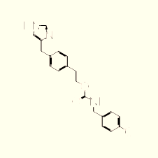 O=C(NCc1ccc(Cl)cc1)OCCc1ccc(Cc2c[nH]cn2)cc1